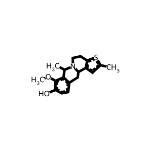 COc1c(O)ccc2c1C(C)N1CCc3sc(C)cc3C1C2